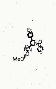 CCc1ccc(C2CC(c3nc(OCCOC)no3)CN(C(=O)N3CCSCC3)C2)cc1